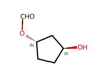 O=CO[C@H]1CC[C@H](O)C1